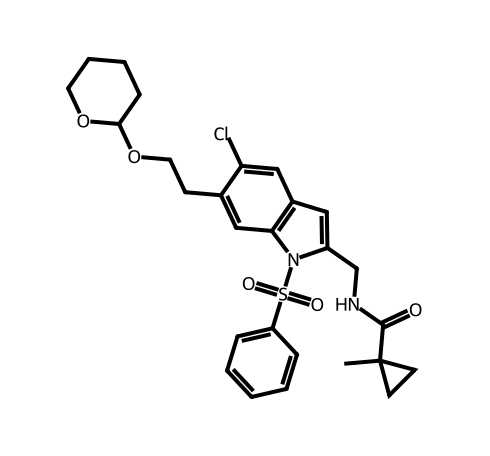 CC1(C(=O)NCc2cc3cc(Cl)c(CCOC4CCCCO4)cc3n2S(=O)(=O)c2ccccc2)CC1